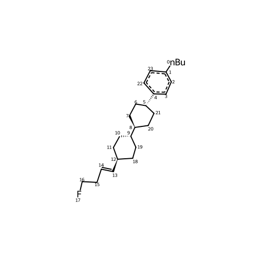 CCCCc1ccc([C@H]2CC[C@H]([C@H]3CC[C@H](C=CCCF)CC3)CC2)cc1